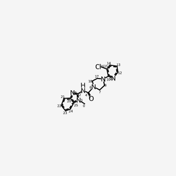 Cn1c(NC(=O)N2CCN(c3ncccc3Cl)CC2)nc2ccccc21